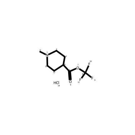 CN1CCC(C(=O)OC(F)(F)F)CC1.Cl